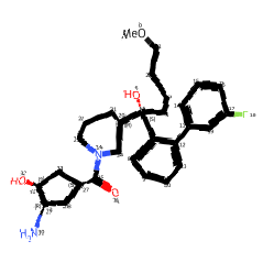 COCCCC[C@@](O)(c1ccccc1-c1cccc(F)c1)[C@@H]1CCCN(C(=O)[C@H]2C[C@@H](N)[C@@H](O)C2)C1